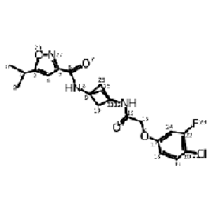 CC(C)c1cc(C(=O)NC23CC(NC(=O)COc4ccc(Cl)c(F)c4)(C2)C3)no1